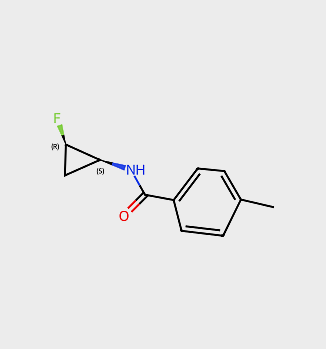 Cc1ccc(C(=O)N[C@H]2C[C@H]2F)cc1